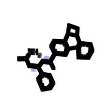 C=C(N)/C=C(\C=C(/C)c1ccc2c(c1)-c1ccccc1C1CCC21)c1ccccc1